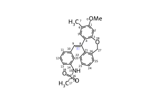 COc1cc2c(cc1C)/C(=C/c1cccc(NS(C)(=O)=O)c1)c1ccccc1CO2